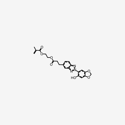 C=C(C)C(=O)OCCOC(=O)CCc1ccc2nn(-c3cc4c(cc3O)OCO4)nc2c1